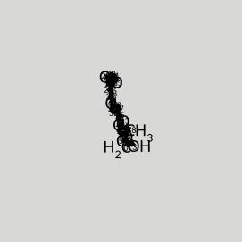 C=C(CO)C(=O)Oc1ccc(OC(=O)/C=C/c2ccc(OCCCCCCN3C(=O)C=CC3=O)cc2)cc1C